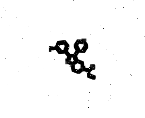 C=CC(=O)N1CCn2nc(-c3cccc(F)c3)c(-c3ccncc3)c2C1